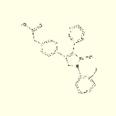 O=C1C(c2ccccc2)=C(c2ccc(CS(=O)O)cc2)CN1c1ccccc1F